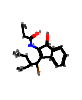 CCC(=O)NC1=C(C(Br)C(C)CC)c2ccccc2C1=O